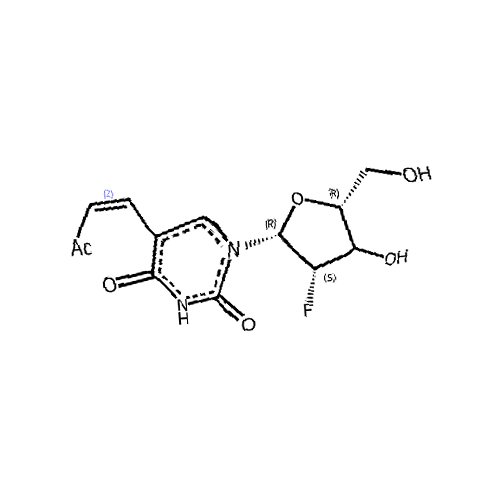 CC(=O)/C=C\c1cn([C@@H]2O[C@H](CO)C(O)[C@@H]2F)c(=O)[nH]c1=O